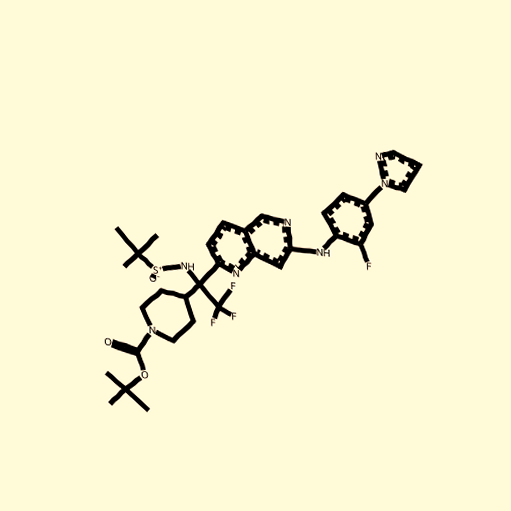 CC(C)(C)OC(=O)N1CCC(C(N[S+]([O-])C(C)(C)C)(c2ccc3cnc(Nc4ccc(-n5cccn5)cc4F)cc3n2)C(F)(F)F)CC1